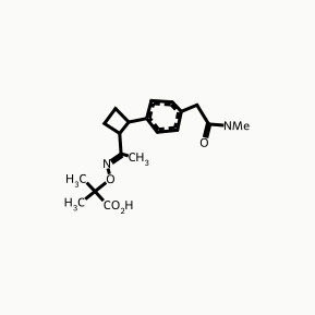 CNC(=O)Cc1ccc(C2CCC2/C(C)=N/OC(C)(C)C(=O)O)cc1